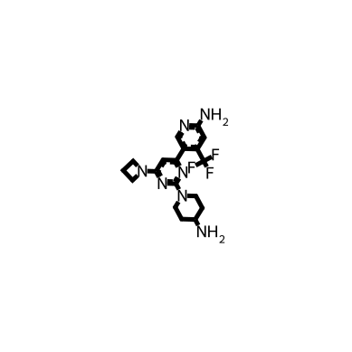 Nc1cc(C(F)(F)F)c(-c2cc(N3CCC3)nc(N3CCC(N)CC3)n2)cn1